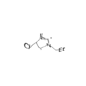 CCN1[C]=NC(Cl)[CH]1